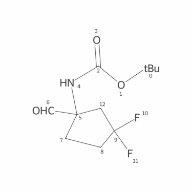 CC(C)(C)OC(=O)NC1(C=O)CCC(F)(F)C1